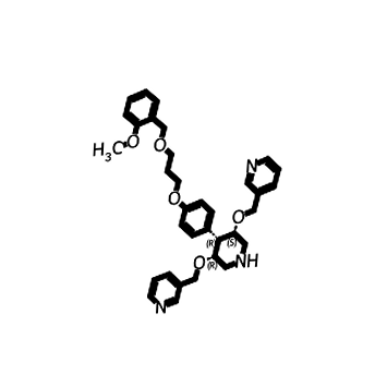 COc1ccccc1COCCCOc1ccc([C@H]2[C@@H](OCc3cccnc3)CNC[C@H]2OCc2cccnc2)cc1